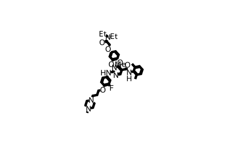 CCN(CC)C(=O)COc1ccc(Oc2nc(Nc3ccc(OCCCN4CCN(C)CC4)c(F)c3)ncc2C(=O)Nc2c(C)cccc2C)c(OC)c1